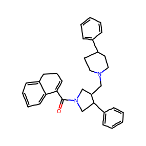 O=C(C1=CCCc2ccccc21)N1CC(CN2CCC(c3ccccc3)CC2)C(c2ccccc2)C1